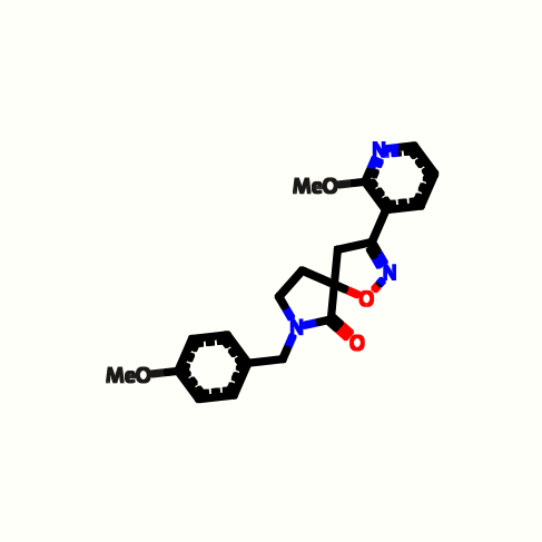 COc1ccc(CN2CCC3(CC(c4cccnc4OC)=NO3)C2=O)cc1